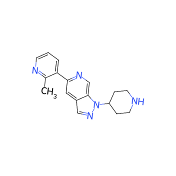 Cc1ncccc1-c1cc2cnn(C3CCNCC3)c2cn1